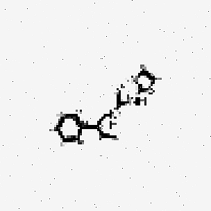 CCC(CNC(=S)Nc1nccs1)c1ccccc1